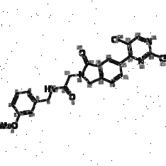 COc1cccc(CNC(=O)CN2Cc3ccc(-c4nc(Cl)ncc4Cl)cc3C2=O)c1